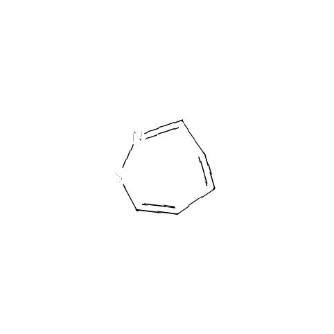 [C]1=CC=NSC=C1